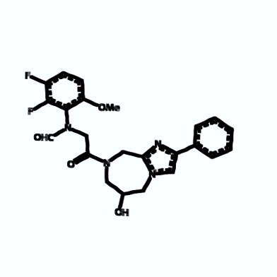 COc1ccc(F)c(F)c1N(C=O)CC(=O)N1Cc2nc(-c3ccccc3)cn2CC(O)C1